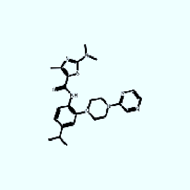 Cc1nc(N(C)C)sc1C(=O)Nc1ccc(C(C)C)cc1N1CCN(c2cnccn2)CC1